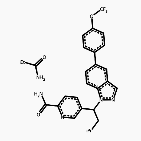 CC(C)CC(c1ccc(C(N)=O)nc1)n1ncc2cc(-c3ccc(OC(F)(F)F)cc3)ccc21.CCC(N)=O